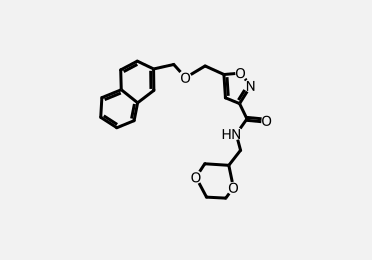 O=C(NCC1COCCO1)c1cc(COCc2ccc3ccccc3c2)on1